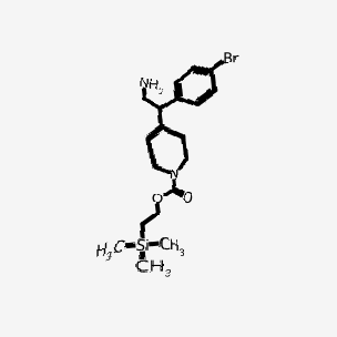 C[Si](C)(C)CCOC(=O)N1CCC(C(CN)c2ccc(Br)cc2)CC1